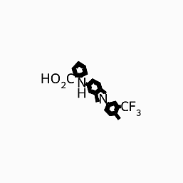 Cc1ccc(N2Cc3ccc(Nc4ccccc4C(=O)O)cc3C2)cc1C(F)(F)F